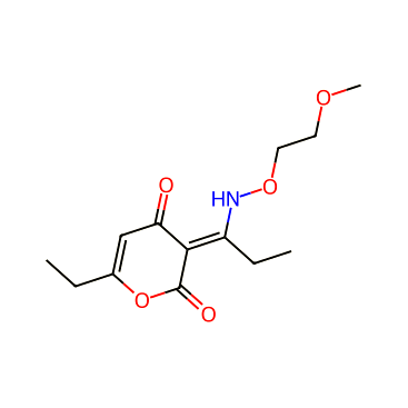 CCC1=CC(=O)C(=C(CC)NOCCOC)C(=O)O1